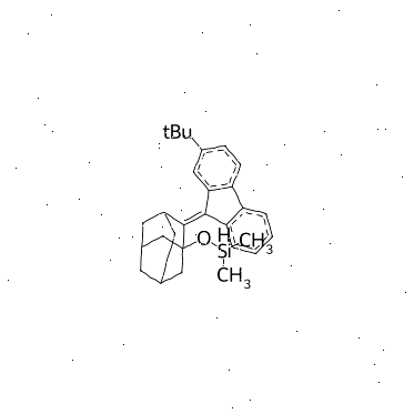 C[SiH](C)OC12CC3CC(CC(C3)C1=C1c3ccccc3-c3ccc(C(C)(C)C)cc31)C2